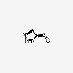 O=S=C1C=NN=N1